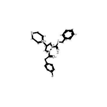 O=C(Cc1ccc(F)cc1)N1CC(N2CCOCC2)CN1C(=O)OCc1ccccc1